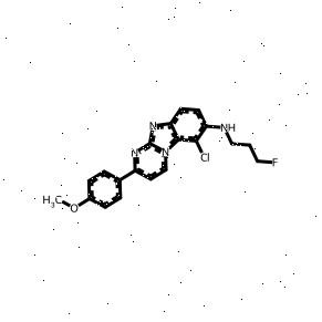 COc1ccc(-c2ccn3c(n2)nc2ccc(NCCCF)c(Cl)c23)cc1